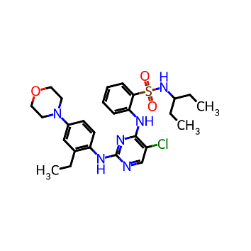 CCc1cc(N2CCOCC2)ccc1Nc1ncc(Cl)c(Nc2ccccc2S(=O)(=O)NC(CC)CC)n1